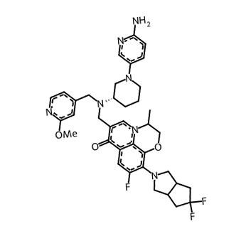 COc1cc(CN(Cc2cn3c4c(c(N5CC6CC(F)(F)CC6C5)c(F)cc4c2=O)OCC3C)[C@H]2CCCN(c3ccc(N)nc3)C2)ccn1